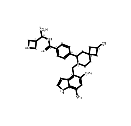 COc1cc(C)c2[nH]ccc2c1CN1CCC2(CC(C#N)C2)CC1c1ccc(C(=O)NC(C(=O)O)C2COC2)cc1